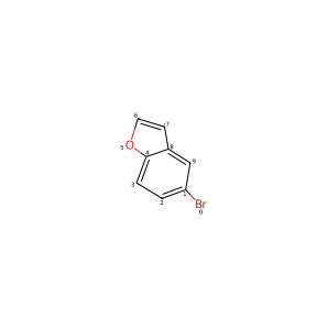 Brc1ccc2oc[c]c2c1